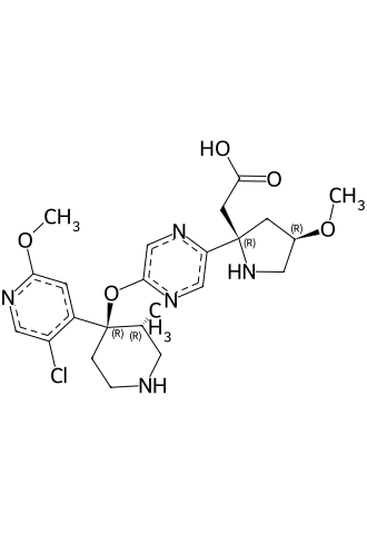 COc1cc([C@@]2(Oc3cnc([C@]4(CC(=O)O)C[C@@H](OC)CN4)cn3)CCNC[C@H]2C)c(Cl)cn1